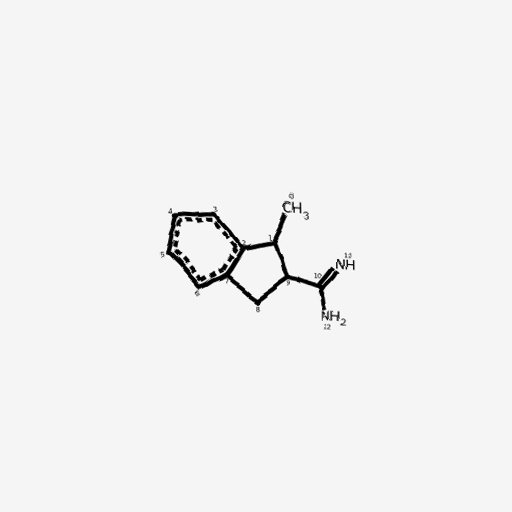 CC1c2ccccc2CC1C(=N)N